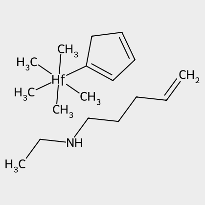 C=CCCCNCC.[CH3][Hf]([CH3])([CH3])([CH3])([CH3])[C]1=CC=CC1